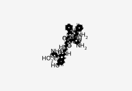 NC(=O)C[C@H](NC(=O)[C@H](Cc1ccc(O)cc1)NC(=O)CNC(=O)CNC(=O)[C@H](Cc1c[nH]c2ccccc12)NC(=O)[C@H](CC(N)=O)NC(=O)[C@@H](N)Cc1ccccc1)C(=O)O